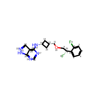 Fc1ccccc1[C@H](F)COC[C@H]1C[C@@H](Nc2ncnc3[nH]ncc23)C1